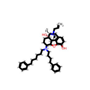 C=CCN1CC[C@]23c4c5ccc(O)c4OC2C(N(CCCCCCc2ccccc2)CCCCc2ccccc2)CC[C@@]3(O)[C@H]1C5